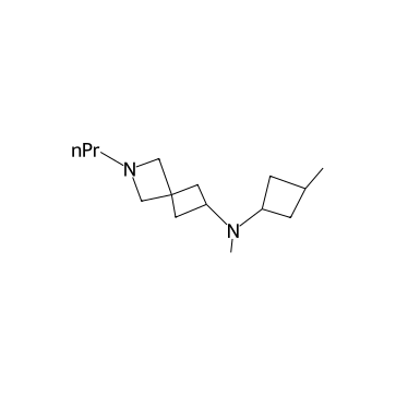 CCCN1CC2(CC(N(C)C3CC(C)C3)C2)C1